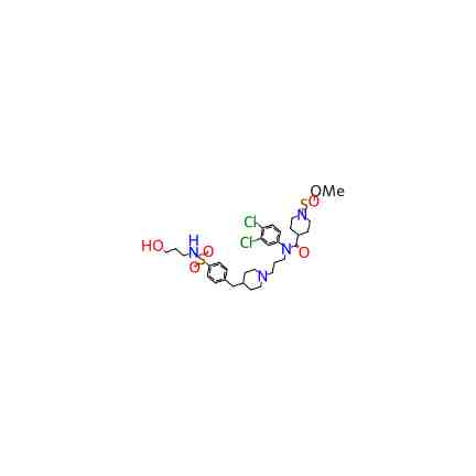 COOSN1CCC(C(=O)N(CCCN2CCC(Cc3ccc(S(=O)(=O)NCCCO)cc3)CC2)c2ccc(Cl)c(Cl)c2)CC1